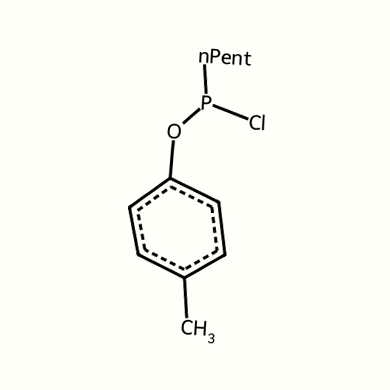 CCCCCP(Cl)Oc1ccc(C)cc1